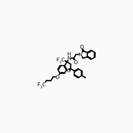 Cc1ccc(C(=O)CC(NC(=O)CN2Cc3ccccc3C2=O)(c2ccc(OCCCC(F)(F)F)cc2)C(F)(F)F)cc1